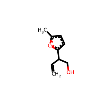 C=CC(CO)c1ccc(C)o1